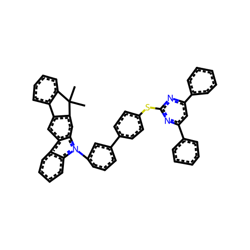 CC1(C)c2ccccc2-c2cc3c4ccccc4n(-c4cccc(-c5ccc(Sc6nc(-c7ccccc7)cc(-c7ccccc7)n6)cc5)c4)c3cc21